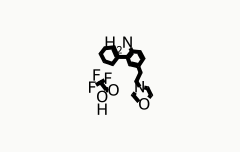 Nc1ccc(CCN2CCOCC2)cc1C1=CCCCC1.O=C(O)C(F)(F)F